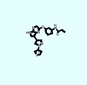 C=CC(=O)Nc1cccc(Oc2cnc3[nH]cc(-c4cnn(-c5ccsc5)c4)c3n2)c1